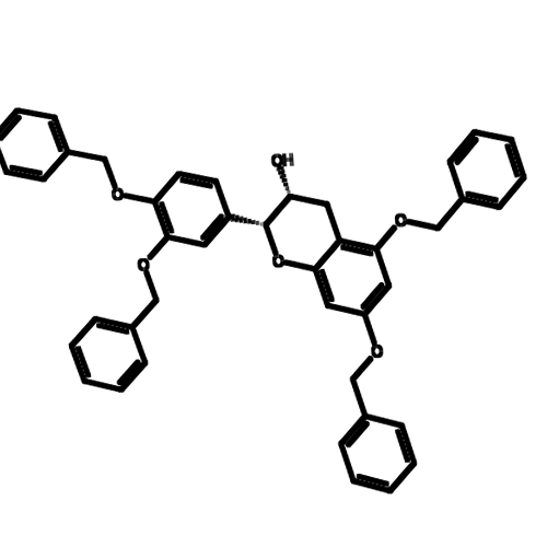 O[C@@H]1Cc2c(OCc3ccccc3)cc(OCc3ccccc3)cc2O[C@@H]1c1ccc(OCc2ccccc2)c(OCc2ccccc2)c1